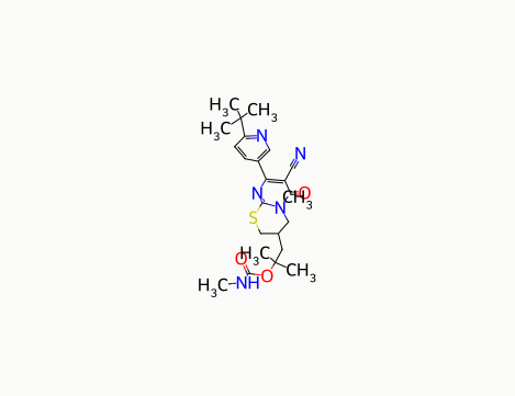 CNC(=O)OC(C)(C)CC1CS/C(=N/C(=C(/C#N)C=O)c2ccc(C(C)(C)C)nc2)N(C)C1